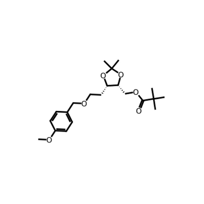 COc1ccc(COCC[C@@H]2OC(C)(C)O[C@@H]2COC(=O)C(C)(C)C)cc1